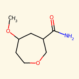 COC1CCOCC(C(N)=O)C1